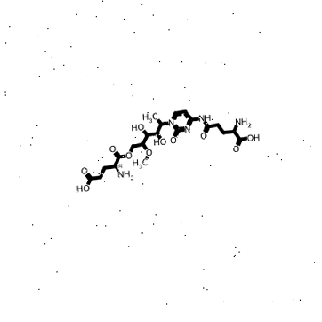 COC(COC(=O)[C@@H](N)CCC(=O)O)C(O)C(O)C(C)n1ccc(NC(=O)CCC(N)C(=O)O)nc1=O